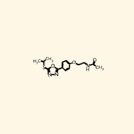 CC(=O)NCCOc1ccc(-c2nnc(SC(C)C)o2)cc1